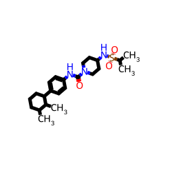 CC1CCCC(c2ccc(NC(=O)N3CCC(NS(=O)(=O)C(C)C)CC3)cc2)C1C